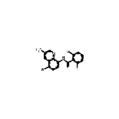 Cc1cnc2c(NC(=O)c3c(Cl)cccc3Cl)ccc(Br)c2c1